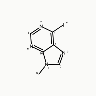 Cn1cnc2c(I)ncnc21